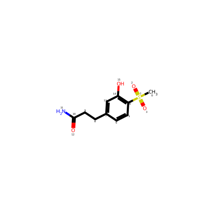 CS(=O)(=O)c1ccc([CH]CC(N)=O)cc1O